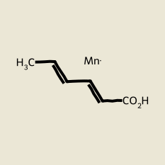 CC=CC=CC(=O)O.[Mn]